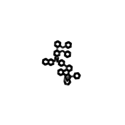 c1ccc(Cc2ccccc2-c2ccc(N(c3ccc(-c4cccc5c4c4ccccc4c4c5c(-c5ccccc5)c5ccccn54)cc3)c3ccc4ccccc4c3)cc2Cc2ccccc2)cc1